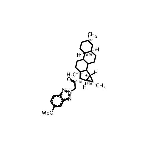 COc1ccc2nn(CC(=O)[C@H]3[C@H]4[C@@H](C)[C@H]4C4C5CC[C@@H]6C[C@@H](C)CC[C@@H]6C5CC[C@@]43C)nc2c1